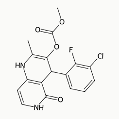 COC(=O)OC1=C(C)Nc2cc[nH]c(=O)c2C1c1cccc(Cl)c1F